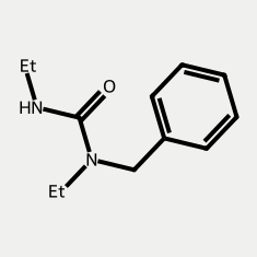 CCNC(=O)N(CC)Cc1ccccc1